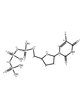 O=c1[nH]c(=O)n(C2CCC(COP(=O)(O)OP(=O)(O)OP(=O)(O)O)O2)cc1F